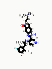 Cc1c(F)cc(F)cc1CC(C)Nc1cc[nH]c(=O)c1-c1nc2cc3c(cc2[nH]1)CN(CCN(C)C)C3=O